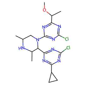 COC(C)c1nc(Cl)nc(N2CC(C)NC(C)C2c2nc(Cl)nc(C3CC3)n2)n1